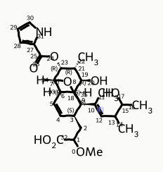 COC(C[C@H]1C=C[C@H]2[C@H]3O[C@]1(/C(C)=C/C(C)C(C)O)[C@@H]2[C@H](O)[C@@H](C)[C@H]3OC(=O)c1ccc[nH]1)C(=O)O